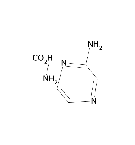 NC(=O)O.Nc1cnccn1